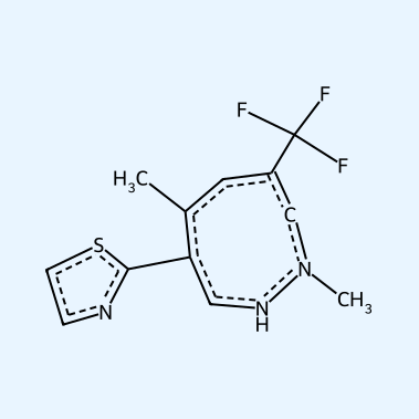 Cc1cc(C(F)(F)F)cn(C)[nH]cc1-c1nccs1